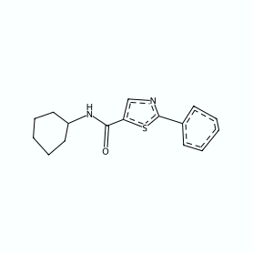 O=C(NC1CCCCC1)c1cnc(-c2ccccc2)s1